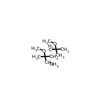 COC(C)(C)C.COC(C)(C)C.O